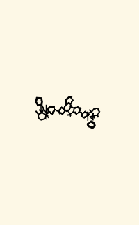 CC1CCCC2(C)c3cc(-c4ccc5c(c4)C(C)(C)c4c-5c5ccccc5c5cc(-c6ccc7c(c6)C6(C)CCCC(C)C6(C)N7c6ccccc6)ccc45)ccc3N(c3ccccc3)C12C